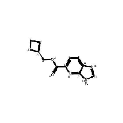 O=C(OC[C@@H]1CCO1)c1ccc2nc[nH]c2n1